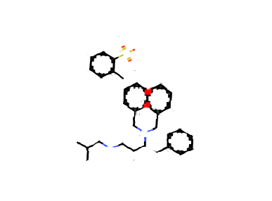 CC(C)CNC[C@@H](O)[C@H](Cc1ccccc1)N(Cc1ccccc1)Cc1ccccc1.Cc1ccccc1S(=O)(=O)O